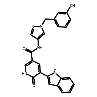 N#Cc1cccc(Cn2cc(NC(=O)c3c[nH]c(=O)c(-c4cc5ccccc5[nH]4)c3)cn2)c1